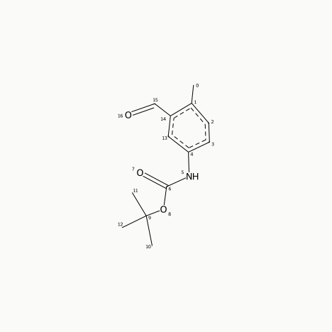 Cc1ccc(NC(=O)OC(C)(C)C)cc1C=O